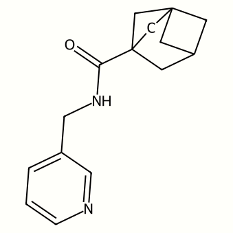 O=C(NCc1cccnc1)C12CC3CC(C3)(C1)C2